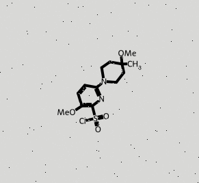 COc1ccc(N2CCC(C)(OC)CC2)nc1S(=O)(=O)Cl